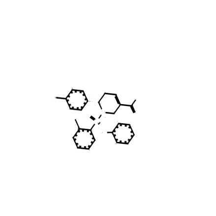 Cc1ccccc1S(=O)(=O)N1[C@@H](c2ccccc2F)C(C(=O)O)=CC[C@H]1c1ccc(Cl)cc1